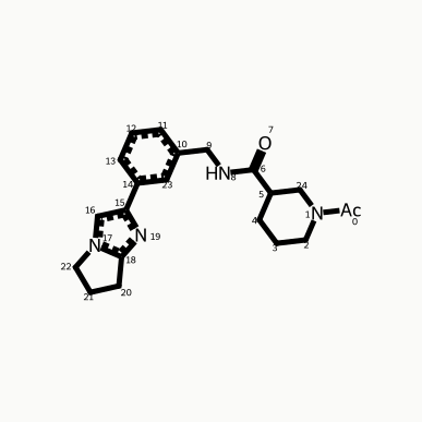 CC(=O)N1CCCC(C(=O)NCc2cccc(-c3cn4c(n3)CCC4)c2)C1